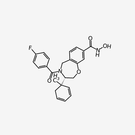 CC1([C@H]2COc3cc(C(=O)NO)ccc3CN2C(=O)c2ccc(F)cc2)C=CC=CC1